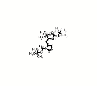 CC(C)(C)OC(=O)NC(Cc1cncn1C(=O)OC(C)(C)C)C(C)(C)C